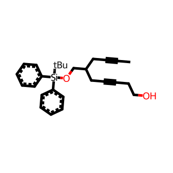 CC#CCC(CC#CCCO)CO[Si](c1ccccc1)(c1ccccc1)C(C)(C)C